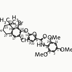 COc1cc(OC)c(NC(=O)c2ccc(Oc3c(C)cc4c(c3Br)C(C)(C)CCC4)o2)c(OC)c1